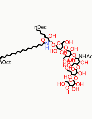 CCCCCCCC/C=C\CCCCCCCCCCCCCCCC(=O)N[C@@H](CO[C@@H]1OC(CO)[C@@H](O[C@@H]2OC(CO)[C@H](O)[C@H](O[C@@H]3OC(CO)[C@@H](O[C@@H]4OC(CO)[C@H](O)[C@H](O[C@@H]5OC(CO)[C@H](O)[C@H](O)C5O)C4O)[C@H](O)C3NC(C)=O)C2O)[C@H](O)C1O)[C@H](O)/C=C/CCCCCCCCCCCCC